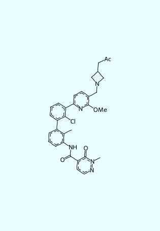 COc1nc(-c2cccc(-c3cccc(NC(=O)c4ccnn(C)c4=O)c3C)c2Cl)ccc1CN1CC(CC(C)=O)C1